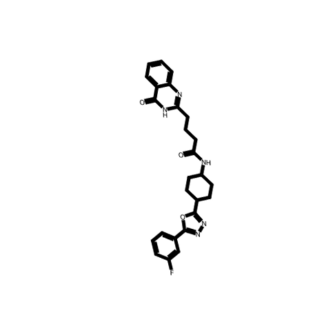 O=C(CCCc1nc2ccccc2c(=O)[nH]1)NC1CCC(c2nnc(-c3cccc(F)c3)o2)CC1